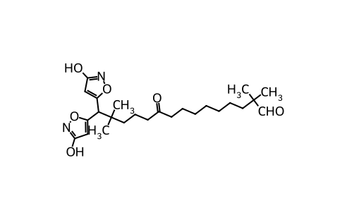 CC(C)(C=O)CCCCCCCC(=O)CCCC(C)(C)C(c1cc(O)no1)c1cc(O)no1